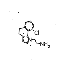 NCCn1ccc2c1-c1c(Cl)cccc1CC2